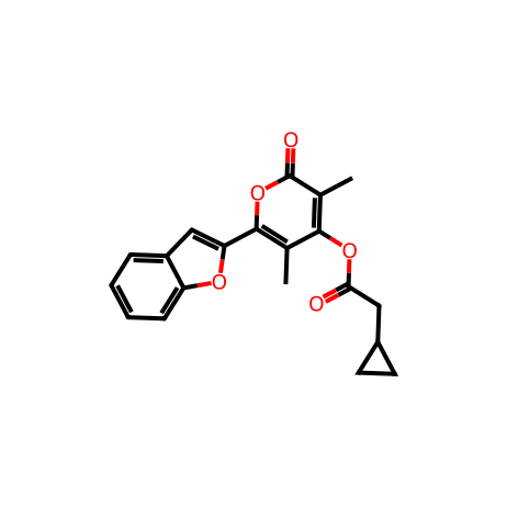 Cc1c(-c2cc3ccccc3o2)oc(=O)c(C)c1OC(=O)CC1CC1